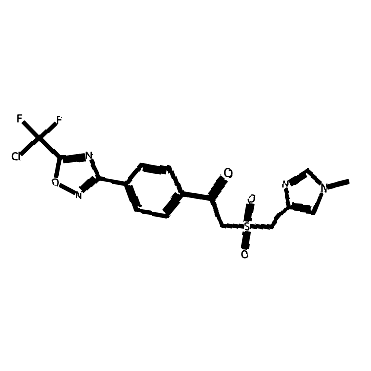 Cn1cnc(CS(=O)(=O)CC(=O)c2ccc(-c3noc(C(F)(F)Cl)n3)cc2)c1